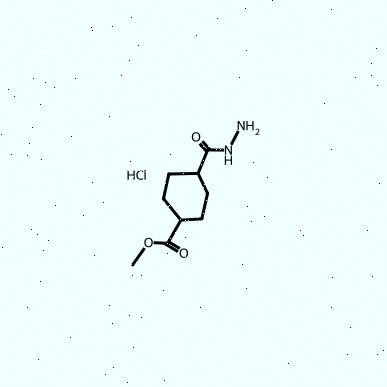 COC(=O)C1CCC(C(=O)NN)CC1.Cl